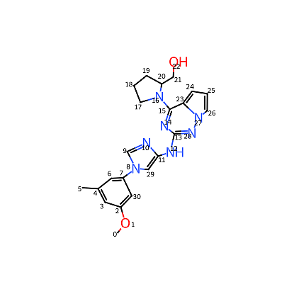 COc1cc(C)cc(-n2cnc(Nc3nc(N4CCCC4CO)c4cccn4n3)c2)c1